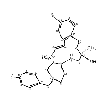 C[C@](O)(CNC1CCN(Cc2ccc(Cl)cc2)CC1)COc1ccc(F)cc1/C=C/C(=O)O